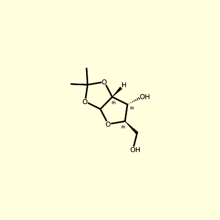 CC1(C)OC2O[C@H](CO)[C@@H](O)[C@H]2O1